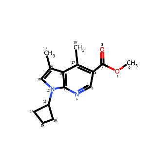 COC(=O)c1cnc2c(c(C)cn2C2CCC2)c1C